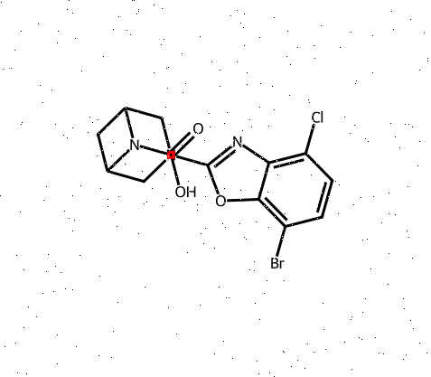 O=C(O)N1C2CC1CN(c1nc3c(Cl)ccc(Br)c3o1)C2